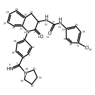 N=C(c1ccc(N2C(=O)C(NC(=O)Nc3ccc(Cl)cc3)Cc3ccccc32)cc1)N1CCCC1